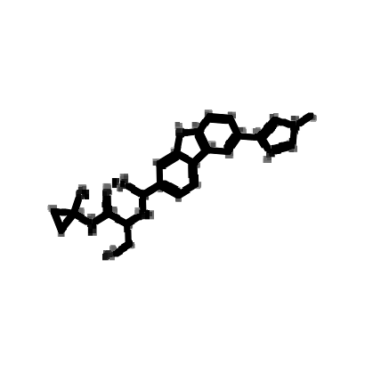 CC(C)CC(NC(c1ccc2c(c1)oc1ccc(-c3cn(C)cn3)cc12)C(F)(F)F)C(=O)NC1(C#N)CC1